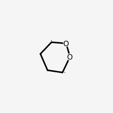 [CH]1CC[CH]OO1